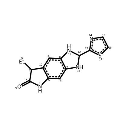 CCC1C(=O)Nc2cc3c(cc21)NC(c1nccs1)N3